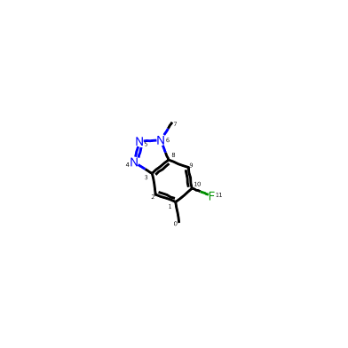 Cc1cc2nnn(C)c2cc1F